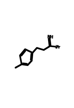 Cc1ccc(CCC(=N)C(C)C)cc1